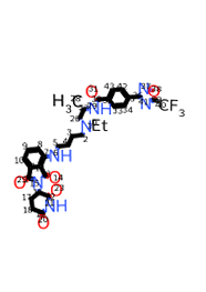 CCN(CCCCNc1cccc2c1C(=O)N(C1CCC(=O)NC1=O)C2=O)CC(C)NC(=O)c1ccc(-c2noc(C(F)(F)F)n2)cc1